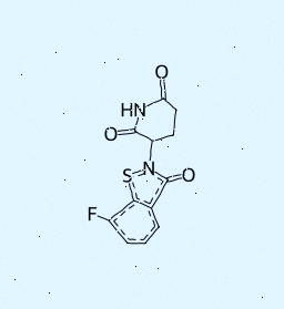 O=C1CCC(n2sc3c(F)cccc3c2=O)C(=O)N1